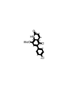 COc1cc(-c2ccc(Cl)cc2)c(Cl)c2ccc(=O)[nH]c12